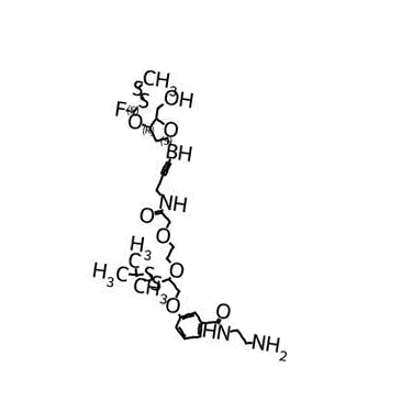 CSS[C@H](F)O[C@@H]1C[C@H](BC#CCNC(=O)COCCOC(COc2cccc(C(=O)NCCN)c2)SSC(C)(C)C)OC1CO